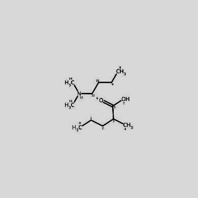 CCCC(C)C(=O)O.CCCCN(C)C